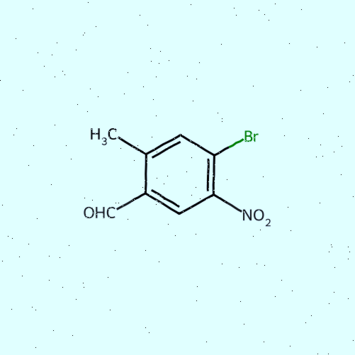 Cc1cc(Br)c([N+](=O)[O-])cc1C=O